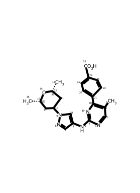 Cc1cnc(Nc2cnn(C3C[C@@H](C)O[C@@H](C)C3)c2)nc1-c1ccc(C(=O)O)cc1